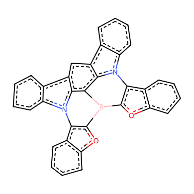 c1ccc2c3c(oc2c1)B1c2oc4ccccc4c2-n2c4ccccc4c4cc5c6ccccc6n-3c5c1c42